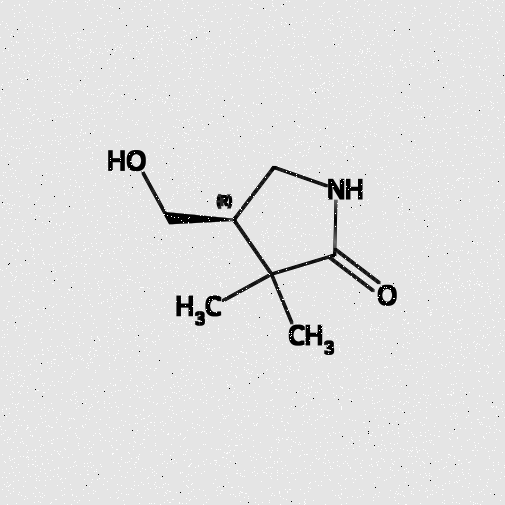 CC1(C)C(=O)NC[C@@H]1CO